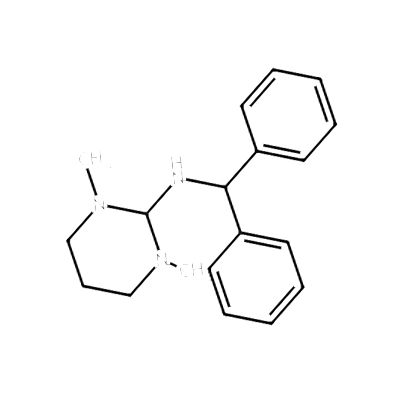 CN1CCCN(C)C1NC(c1ccccc1)c1ccccc1